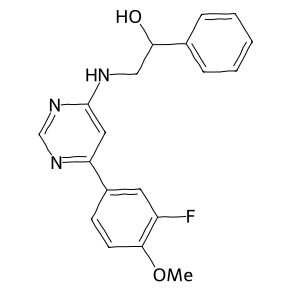 COc1ccc(-c2cc(NCC(O)c3ccccc3)ncn2)cc1F